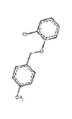 Cc1ccc(COc2ccccc2Cl)cc1